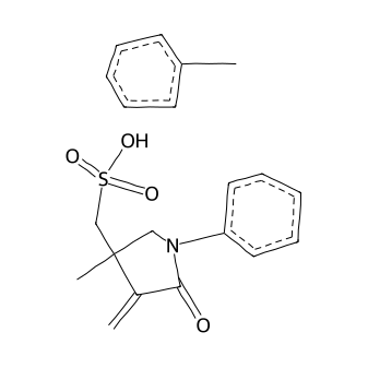 C=C1C(=O)N(c2ccccc2)CC1(C)CS(=O)(=O)O.Cc1ccccc1